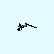 CCCCCCCC(C)O[SiH2]CC(C)(CN(C)C)CN(C)C